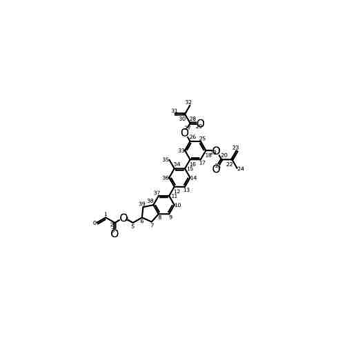 C=CC(=O)OCC1Cc2ccc(-c3ccc(-c4cc(OC(=O)C(=C)C)cc(OC(=O)C(=C)C)c4)c(C)c3)cc2C1